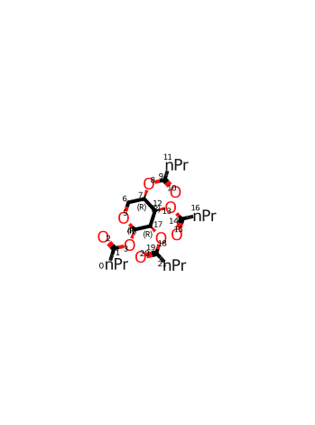 CCCC(=O)O[C@H]1OC[C@@H](OC(=O)CCC)[C@@H](OC(=O)CCC)[C@H]1OC(=O)CCC